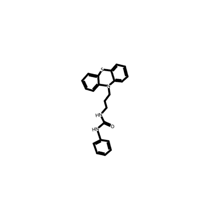 O=C(NCCCN1c2ccccc2Sc2ccccc21)Nc1ccccc1